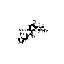 CCCS(=O)(=O)Nc1cc(C(=O)NCC2CCCN2CC)c(OC)cc1Cl